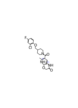 C/C(N)=C(/C=C1/NC(=O)COC1C)C(=O)N1CCC(COc2ccc(F)cc2Cl)CC1